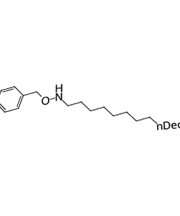 CCCCCCCCCCCCCCCCCCNOCc1ccccc1